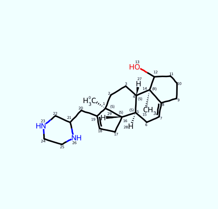 C[C@]12CC[C@H]3[C@@H](CC=C4CCCC(O)[C@@]43C)[C@@H]1CC=C2CC1CNCCN1